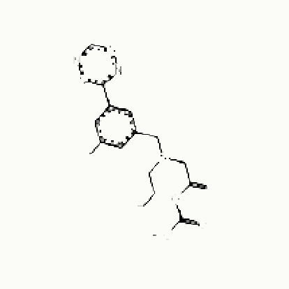 O=C(CN(CCF)Cc1cc(F)cc(-c2nncnn2)c1)OC(=O)C(F)(F)F